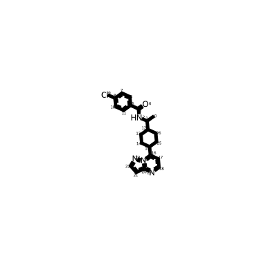 CC(NC(=O)c1ccc(Cl)cc1)C1CCC(c2ccnc3ccnn23)CC1